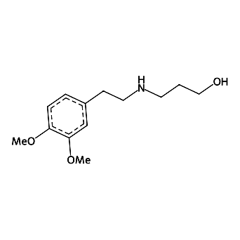 COc1ccc(CCNCCCO)cc1OC